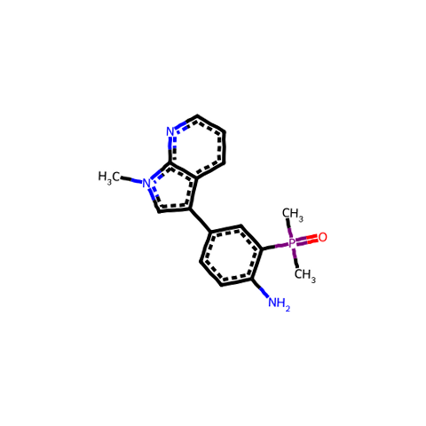 Cn1cc(-c2ccc(N)c(P(C)(C)=O)c2)c2cccnc21